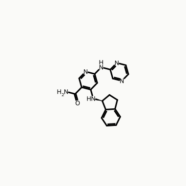 NC(=O)c1cnc(Nc2cnccn2)cc1N[C@H]1CCc2ccccc21